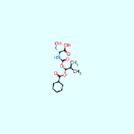 CC(C)C(OC(=O)N[C@H](CO)C(=O)O)OC(=O)C1CCCCC1